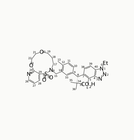 CCn1nnc2c(C)c([C@@H](c3ccc(C)c(CN4CCCOCCOc5ncccc5S4(=O)=O)c3)C(C)(C)C(=O)O)ccc21